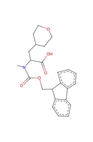 CN(C(=O)OCC1c2ccccc2-c2ccccc21)C(CC1CCOCC1)C(=O)O